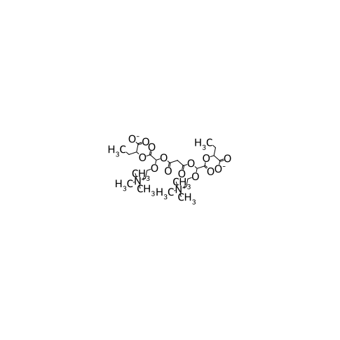 CCC(OC(=O)C(OCC[N+](C)(C)C)OC(=O)CC(=O)OC(OCC[N+](C)(C)C)C(=O)OC(CC)C(=O)[O-])C(=O)[O-]